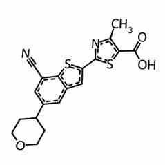 Cc1nc(-c2cc3cc(C4CCOCC4)cc(C#N)c3s2)sc1C(=O)O